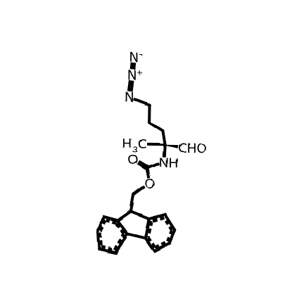 C[C@](C=O)(CCCN=[N+]=[N-])NC(=O)OCC1c2ccccc2-c2ccccc21